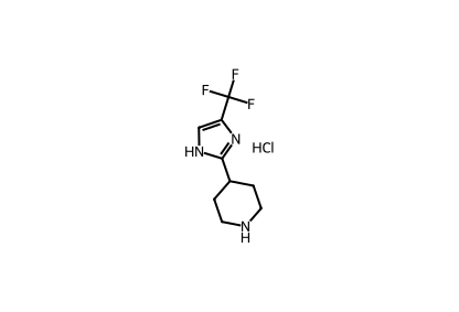 Cl.FC(F)(F)c1c[nH]c(C2CCNCC2)n1